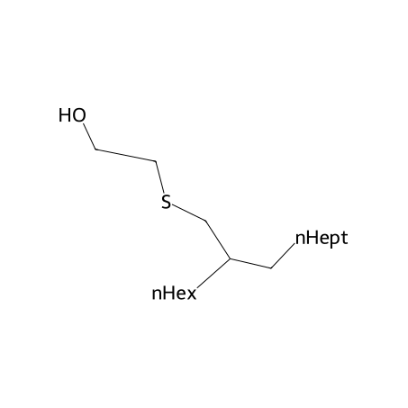 CCCCCCCCC(CCCCCC)CSCCO